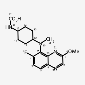 COc1cnc2ccc(F)c(N(C)C3CCC(NC(=O)O)CC3)c2n1